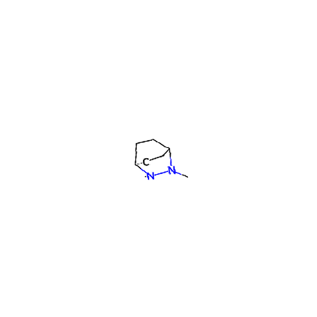 CN1[N]C2CCC1CC2